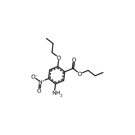 CCCOC(=O)c1cc(N)c([N+](=O)[O-])cc1OCCC